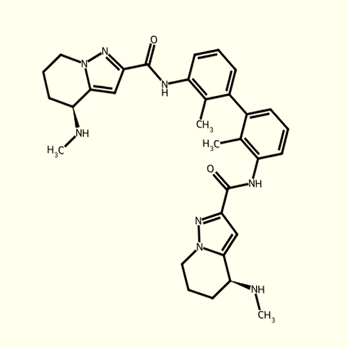 CN[C@H]1CCCn2nc(C(=O)Nc3cccc(-c4cccc(NC(=O)c5cc6n(n5)CCC[C@@H]6NC)c4C)c3C)cc21